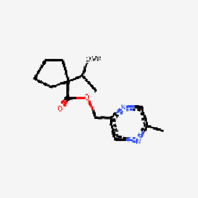 COC(C)C1(C(=O)OCc2cnc(C)cn2)CCCC1